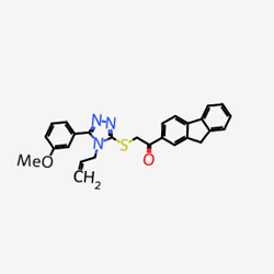 C=CCn1c(SCC(=O)c2ccc3c(c2)Cc2ccccc2-3)nnc1-c1cccc(OC)c1